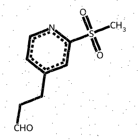 CS(=O)(=O)c1cc([CH]CC=O)ccn1